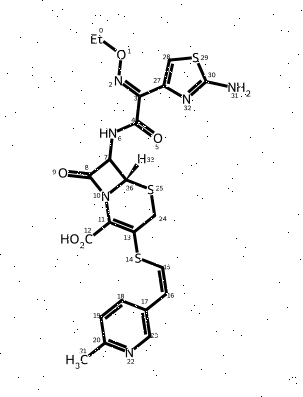 CCON=C(C(=O)NC1C(=O)N2C(C(=O)O)=C(S/C=C\c3ccc(C)nc3)CS[C@@H]12)c1csc(N)n1